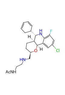 CC(=O)NCCNC[C@H]1CC[C@@H]2[C@H](O1)c1cc(Cl)cc(F)c1N[C@H]2C1C=CC=CC1